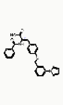 O=C(O)/C(=C/c1ccc(OCc2cccc(-n3cccc3)c2)cc1)NC(=O)c1ccccc1